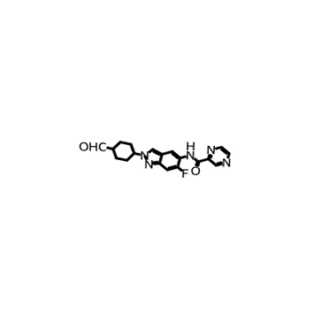 O=CC1CCC(n2cc3cc(NC(=O)c4cnccn4)c(F)cc3n2)CC1